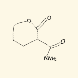 CNC(=O)C1CCCOC1=O